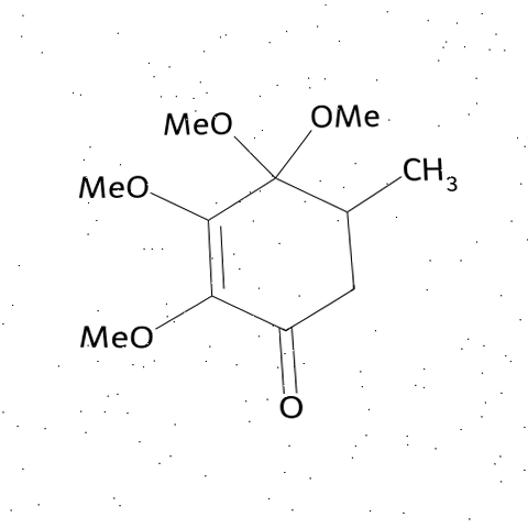 COC1=C(OC)C(OC)(OC)C(C)CC1=O